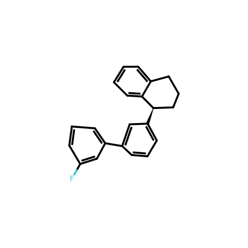 Fc1cccc(-c2cccc([C@@H]3CCCc4ccccc43)c2)c1